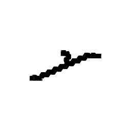 CCCCCCCCCCCCCCCCCCC(CCCCCCCCCCCCCCCC)COC(C)CC